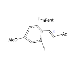 CCCCCI.COc1ccc(/C=C/C(C)=O)c(I)c1